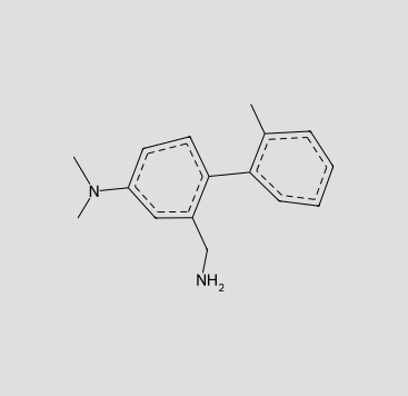 Cc1ccccc1-c1ccc(N(C)C)cc1CN